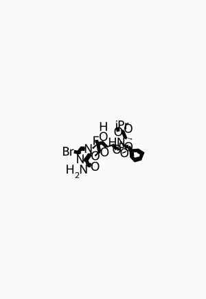 CC(C)OC(=O)[C@H](C)N[P@@](=O)(OC[C@H]1O[C@@H](Oc2ncc(Br)nc2C(N)=O)[C@](C)(F)[C@@H]1O)Oc1ccccc1